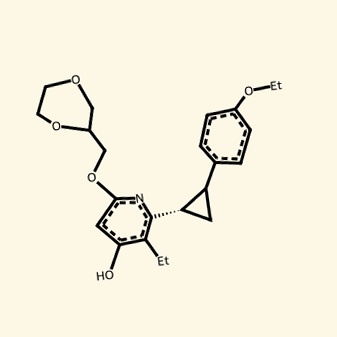 CCOc1ccc(C2C[C@@H]2c2nc(OCC3COCCO3)cc(O)c2CC)cc1